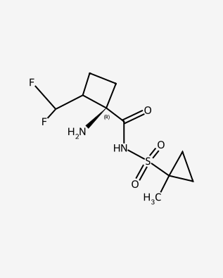 CC1(S(=O)(=O)NC(=O)[C@@]2(N)CCC2C(F)F)CC1